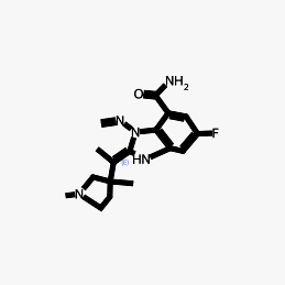 C=NN1/C(=C(\C)C2(C)CCN(C)C2)Nc2cc(F)cc(C(N)=O)c21